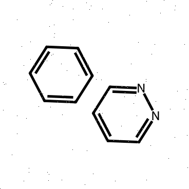 c1ccccc1.c1ccnnc1